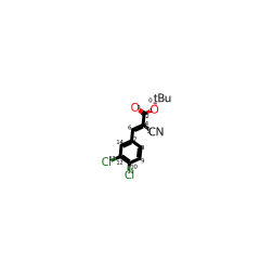 CC(C)(C)OC(=O)/C(C#N)=C/c1ccc(Cl)c(Cl)c1